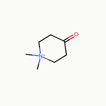 C[N+]1(C)CCC(=O)CC1